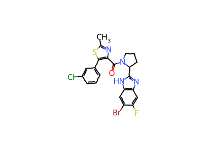 Cc1nc(C(=O)N2CCCC2c2nc3cc(F)c(Br)cc3[nH]2)c(-c2cccc(Cl)c2)s1